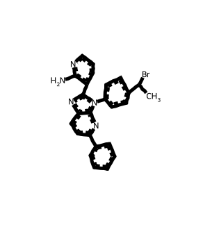 CC(Br)c1ccc(-n2c(-c3cccnc3N)nc3ccc(-c4ccccc4)nc32)cc1